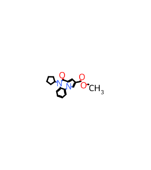 CCOC(=O)c1cc2c(=O)n(C3CCCC3)c3ccccc3n2c1